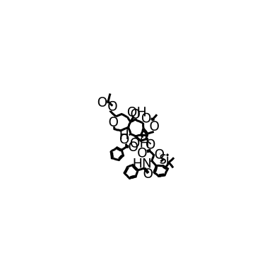 CC(=O)OCC1CC(O)C2(C)C(=O)C(OC(C)=O)C3=C(C)[C@@H](OC(=O)[C@H](O[Si](C)(C)C(C)(C)C)[C@@H](NC(=O)c4ccccc4)c4ccccc4)CC(O)([C@@H](OC(=O)c4ccccc4)[C@@H]2CCO1)C3(C)C